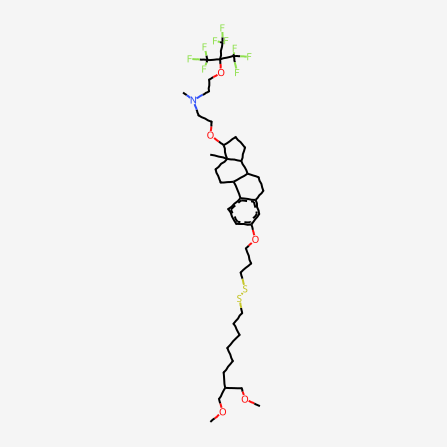 COCC(CCCCCCSSCCCOc1ccc2c(c1)CCC1C2CCC2(C)C(OCCN(C)CCOC(C(F)(F)F)(C(F)(F)F)C(F)(F)F)CCC12)COC